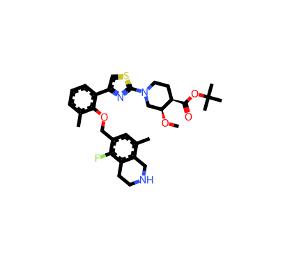 CO[C@H]1CN(c2nc(-c3cccc(C)c3OCc3cc(C)c4c(c3F)CCNC4)cs2)CC[C@H]1C(=O)OC(C)(C)C